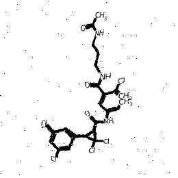 C=C(Cl)/C(=C\C(=C/C)NC(=O)C1C(c2cc(Cl)cc(Cl)c2)C1(Cl)Cl)C(=O)NCCCNC(C)=O